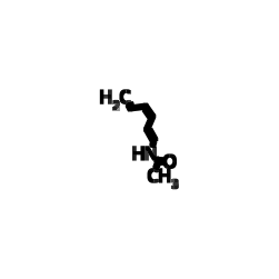 C=C/C=C\C=C\NC(C)=O